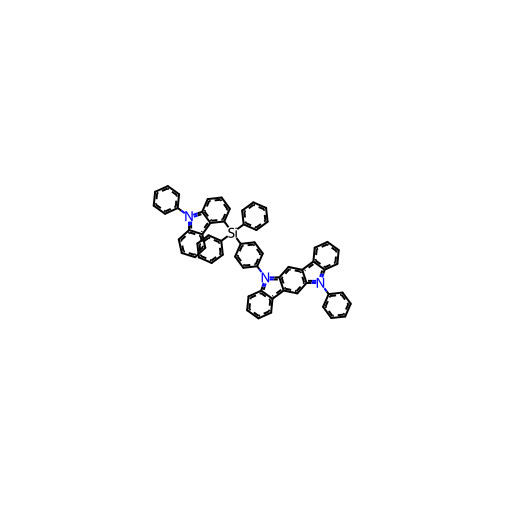 c1ccc(-n2c3ccccc3c3cc4c(cc32)c2ccccc2n4-c2ccc([Si](c3ccccc3)(c3ccccc3)c3cccc4c3c3ccccc3n4-c3ccccc3)cc2)cc1